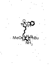 CCCCOc1nc(N)c2nc(OC)n(CCCCC(CCC)CN(C)C(=O)OCc3ccccc3)c2n1